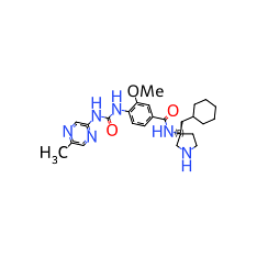 COc1cc(C(=O)N[C@]2(CC3CCCCC3)CCNC2)ccc1NC(=O)Nc1cnc(C)cn1